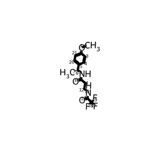 COc1ccc([C@@H](C)NC(=O)CCNC(=O)C(F)(F)F)cc1